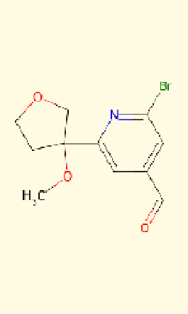 COC1(c2cc(C=O)cc(Br)n2)CCOC1